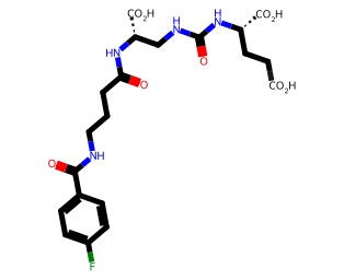 O=C(O)CC[C@H](NC(=O)NC[C@H](NC(=O)CCCNC(=O)c1ccc(F)cc1)C(=O)O)C(=O)O